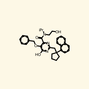 CC(C)N(CCO)C(=O)c1nc(CC2(c3cccc4ccccc34)CCCC2)nc(O)c1OCc1ccccc1